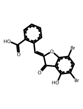 O=C(O)c1ccccc1/C=C1\Oc2c(Br)cc(Br)c(O)c2C1=O